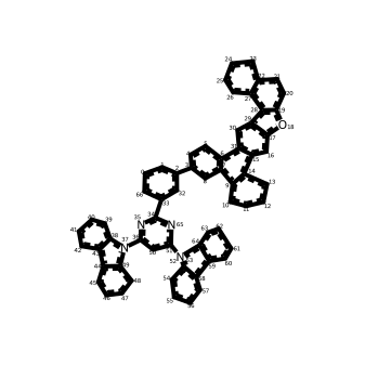 c1cc(-c2ccc3c(c2)c2ccccc2c2cc4oc5ccc6ccccc6c5c4cc32)cc(-c2nc(-n3c4ccccc4c4ccccc43)cc(-n3c4ccccc4c4ccccc43)n2)c1